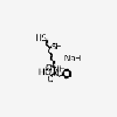 O=C(CCCCC(S)CCS)N[C@@H](Cc1ccccc1)C(=O)O.[NaH]